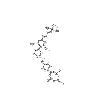 Cc1cc(OCCO[Si](C)(C)C(C)(C)C)nc(C)c1-c1cccc(COc2ccc(B3OC(=O)CN(C)CC(=O)O3)cc2)c1